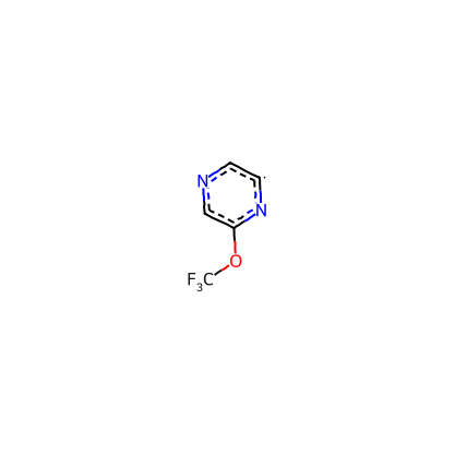 FC(F)(F)Oc1cnc[c]n1